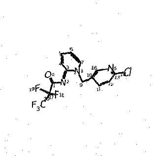 O=C(N=c1ccccn1Cc1ccc(Cl)nc1)C(F)(F)C(F)(F)F